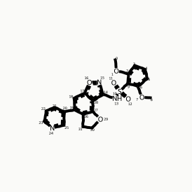 COc1cccc(OC)c1S(=O)(=O)Nc1noc2cc(-c3cccnc3)c3c(c12)OCC3